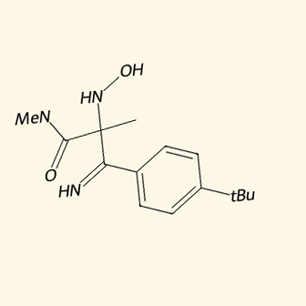 CNC(=O)C(C)(NO)C(=N)c1ccc(C(C)(C)C)cc1